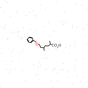 CC(CCOCc1ccccc1)CCC(C)C(=O)O